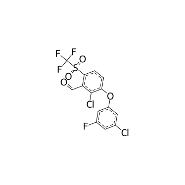 O=Cc1c(S(=O)(=O)C(F)(F)F)ccc(Oc2cc(F)cc(Cl)c2)c1Cl